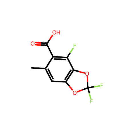 Cc1cc2c(c(F)c1C(=O)O)OC(F)(F)O2